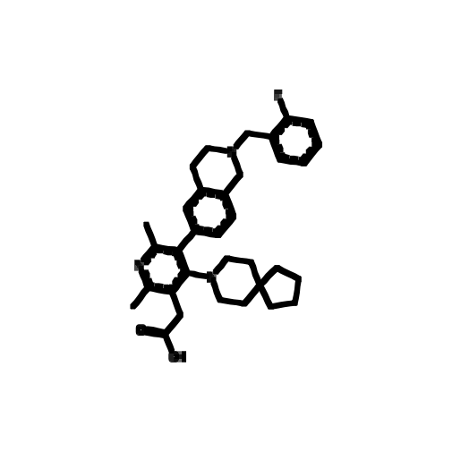 Cc1nc(C)c(-c2ccc3c(c2)CCN(Cc2ccccc2F)C3)c(N2CCC3(CCCC3)CC2)c1CC(=O)O